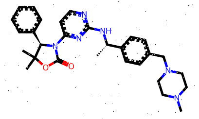 C[C@H](Nc1nccc(N2C(=O)OC(C)(C)[C@H]2c2ccccc2)n1)c1ccc(CN2CCN(C)CC2)cc1